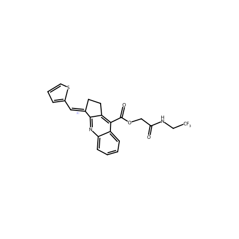 O=C(COC(=O)c1c2c(nc3ccccc13)/C(=C/c1cccs1)CC2)NCC(F)(F)F